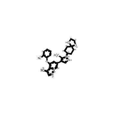 Cc1c(-c2cc(Sc3ccccc3C#N)c3c(C#N)cnn3c2)cnn1C1CCC2(CC1)OCCO2